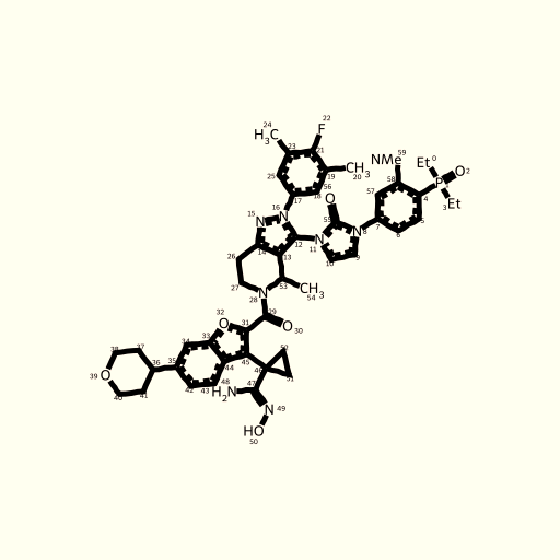 CCP(=O)(CC)c1ccc(-n2ccn(-c3c4c(nn3-c3cc(C)c(F)c(C)c3)CCN(C(=O)c3oc5cc(C6CCOCC6)ccc5c3C3(C(N)=NO)CC3)C4C)c2=O)cc1NC